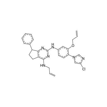 C=CCNc1nc(Nc2ccc(-n3cnc(Cl)c3)c(OCC=C)c2)nc2c1CCC2c1ccccc1